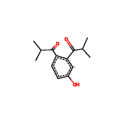 CC(C)C(=O)c1[c]c(O)ccc1C(=O)C(C)C